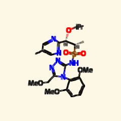 COCc1nnc(NS(=O)(=O)[C@@H](C)[C@@H](OC(C)C)c2ncc(C)cn2)n1-c1c(OC)cccc1OC